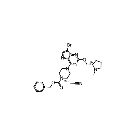 CN1CCC[C@H]1COc1nc(N2CCN(C(=O)OCc3ccccc3)[C@@H](CC#N)C2)c2ncc(Br)n2n1